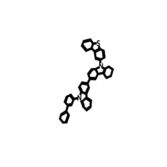 C1=CC2Sc3ccc(N4C5=C(CCCC5)C5C=C(c6ccc7c(c6)c6ccccc6n7-c6cccc(C7=CCCC=C7)c6)C=CC54)cc3C2C=C1